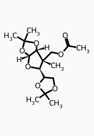 CC(=O)OC[C@]1(C)[C@@H](C2COC(C)(C)O2)O[C@@H]2OC(C)(C)O[C@@H]21